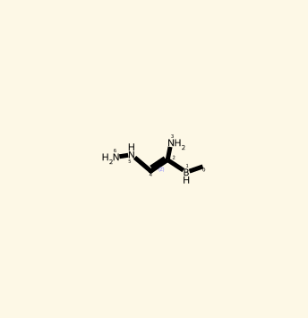 CB/C(N)=C/NN